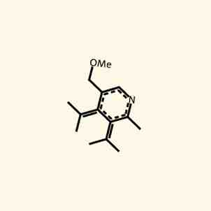 COCc1cnc(C)c(=C(C)C)c1=C(C)C